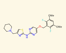 COc1cc(OC)c(F)c(COc2cnc(Nc3nc(CN4CCCCC4)cs3)nc2)c1F